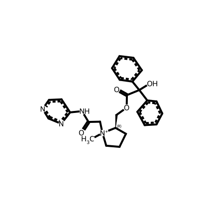 C[N+]1(CC(=O)Nc2ccncn2)CCC[C@@H]1COC(=O)C(O)(c1ccccc1)c1ccccc1